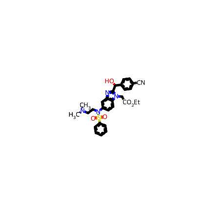 CCOC(=O)Cn1c(C(O)c2ccc(C#N)cc2)nc2cc(N(CCN(C)C)S(=O)(=O)c3ccccc3)ccc21